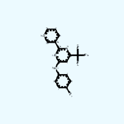 Fc1ccc(Nc2cc(C(F)(F)F)nc(-c3cccnc3)n2)cc1